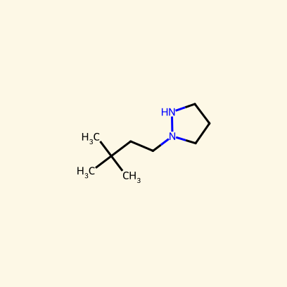 CC(C)(C)CCN1CCCN1